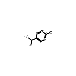 CC(c1cnc(Cl)nc1)C(C)(C)C